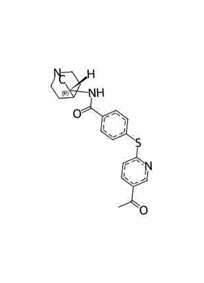 CC(=O)c1ccc(Sc2ccc(C(=O)N[C@H]3CN4CCC3CC4)cc2)nc1